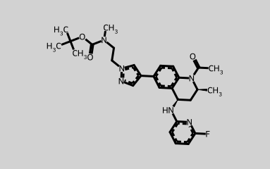 CC(=O)N1c2ccc(-c3cnn(CCN(C)C(=O)OC(C)(C)C)c3)cc2[C@H](Nc2cccc(F)n2)C[C@@H]1C